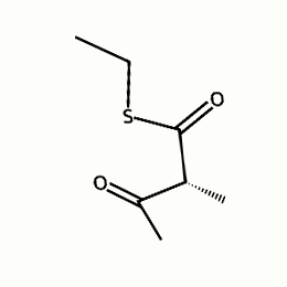 CCSC(=O)[C@H](C)C(C)=O